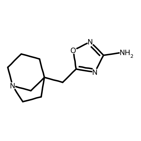 Nc1noc(CC23CCCN(CC2)C3)n1